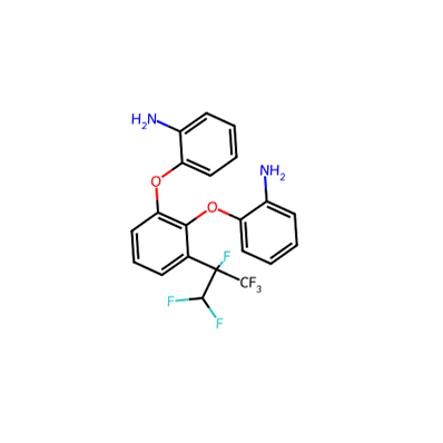 Nc1ccccc1Oc1cccc(C(F)(C(F)F)C(F)(F)F)c1Oc1ccccc1N